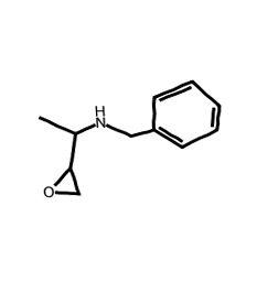 CC(NCc1ccccc1)C1CO1